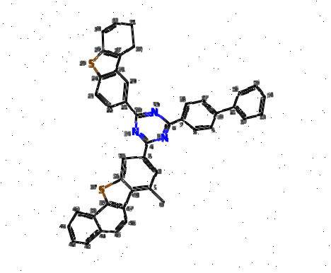 Cc1cc(-c2nc(-c3ccc(-c4ccccc4)cc3)nc(-c3ccc4sc5c(c4c3)CCC=C5)n2)cc2sc3c4ccccc4ccc3c12